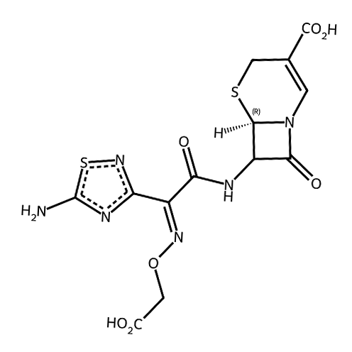 Nc1nc(C(=NOCC(=O)O)C(=O)NC2C(=O)N3C=C(C(=O)O)CS[C@H]23)ns1